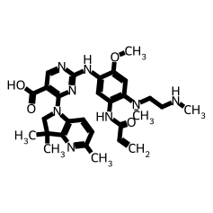 C=CC(=O)Nc1cc(Nc2ncc(C(=O)O)c(N3CC(C)(C)c4nc(C)ccc43)n2)c(OC)cc1N(C)CCNC